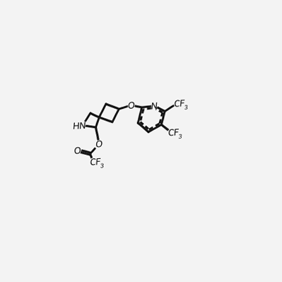 O=C(OC1NCC12CC(Oc1ccc(C(F)(F)F)c(C(F)(F)F)n1)C2)C(F)(F)F